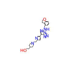 OCCC1CCN(CCc2ccc(-c3cnc(NCc4cccc5c4CCO5)n4cnnc34)cn2)CC1